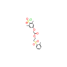 Cc1ccccc1S(=O)(=O)CCOC(=O)COc1cc(C)c(S(=O)(=O)Cl)c(C)c1